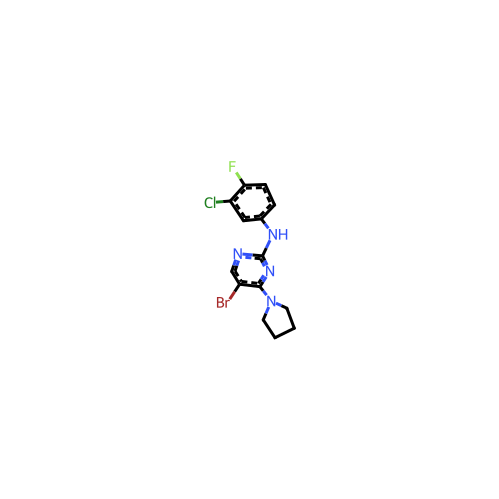 Fc1ccc(Nc2ncc(Br)c(N3CCCC3)n2)cc1Cl